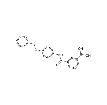 O=C(Nc1ccc(OCc2ccccc2)cc1)c1cccc(B(O)O)c1